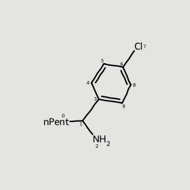 CCCCCC(N)c1ccc(Cl)cc1